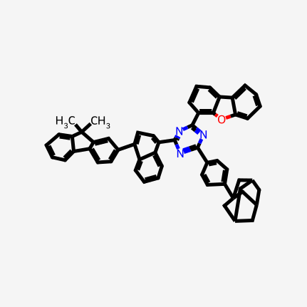 CC1(C)c2ccccc2-c2ccc(-c3ccc(-c4nc(-c5ccc(C67CC8CC(CC(C8)C6)C7)cc5)nc(-c5cccc6c5oc5ccccc56)n4)c4ccccc34)cc21